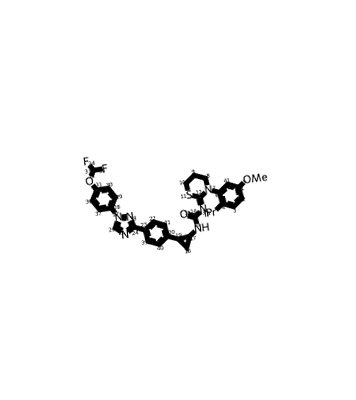 COc1ccc(C(C)C)c(N2CCCS/C2=N\C(=O)NC2CC2c2ccc(-c3ncn(-c4ccc(OC(F)F)cc4)n3)cc2)c1